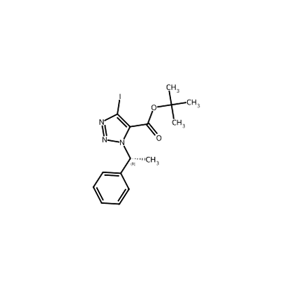 C[C@H](c1ccccc1)n1nnc(I)c1C(=O)OC(C)(C)C